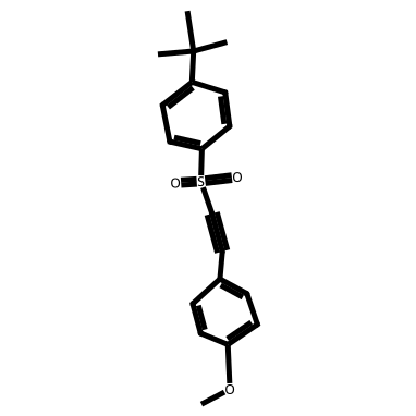 COc1ccc(C#CS(=O)(=O)c2ccc(C(C)(C)C)cc2)cc1